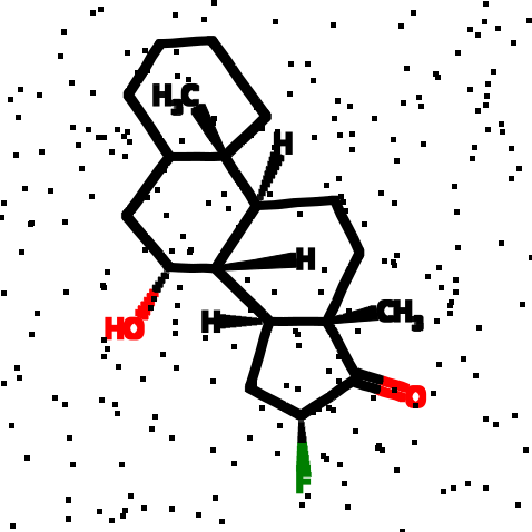 C[C@]12CCCCC1C[C@@H](O)[C@@H]1[C@@H]2CC[C@]2(C)C(=O)[C@H](F)C[C@@H]12